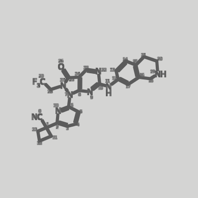 N#CC1(c2cccc(-n3c4nc(Nc5ccc6c(c5)CNCC6)ncc4c(=O)n3CC(F)(F)F)n2)CCC1